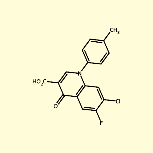 Cc1ccc(-n2cc(C(=O)O)c(=O)c3cc(F)c(Cl)cc32)cc1